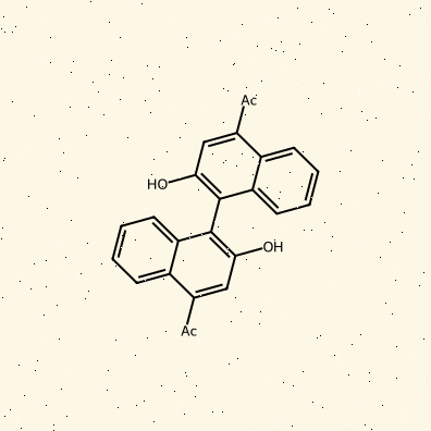 CC(=O)c1cc(O)c(-c2c(O)cc(C(C)=O)c3ccccc23)c2ccccc12